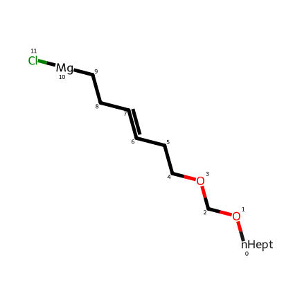 CCCCCCCOCOCC/C=C/C[CH2][Mg][Cl]